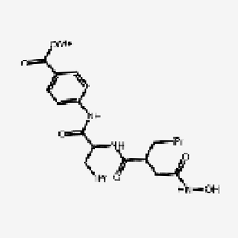 COC(=O)c1ccc(NC(=O)C(CC(C)C)NC(=O)C(CC(=O)NO)CC(C)C)cc1